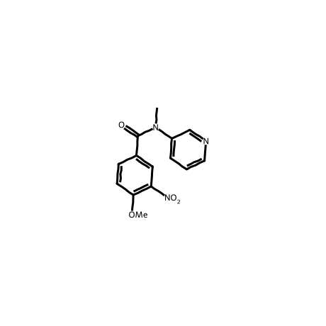 COc1ccc(C(=O)N(C)c2cccnc2)cc1[N+](=O)[O-]